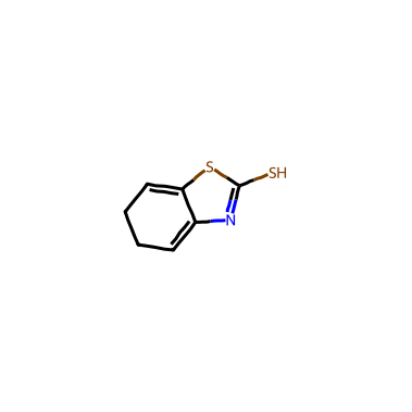 Sc1nc2c(s1)=CCCC=2